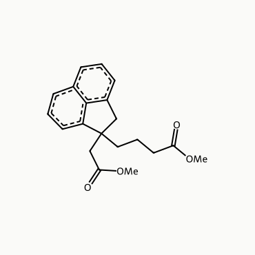 COC(=O)CCCC1(CC(=O)OC)Cc2cccc3cccc1c23